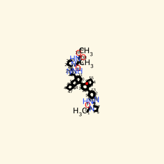 CCC(=O)N1CCC[C@H]1c1nc2ccc(-c3ccc(-c4ccc(-c5cnc([C@@H]6CCCN6C(=O)[C@H](C)NC(=O)OC)[nH]5)c5c4CC4(CCCC4)C5)c4c3C3CCC4CC3)cc2[nH]1